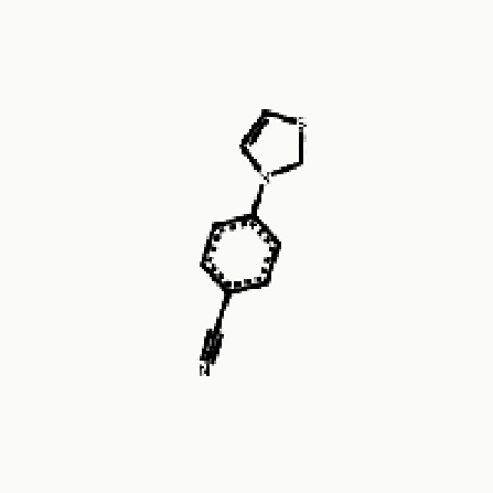 N#Cc1ccc(N2C=CSC2)cc1